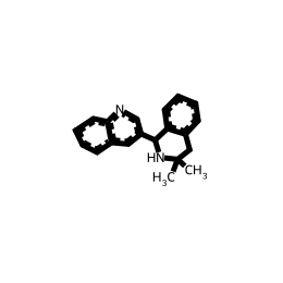 CC1(C)Cc2ccccc2C(c2cnc3ccccc3c2)N1